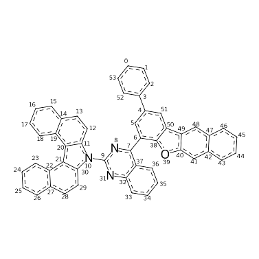 c1ccc(-c2cc(-c3nc(-n4c5ccc6ccccc6c5c5c6ccccc6ccc54)nc4ccccc34)c3oc4cc5ccccc5cc4c3c2)cc1